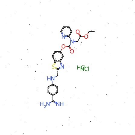 CCOC(=O)CN(C(=O)Oc1ccc2sc(CNc3ccc(C(=N)N)cc3)nc2c1)c1ccccn1.Cl.Cl